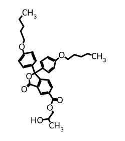 CCCCCOc1ccc(C2(c3ccc(OCCCCC)cc3)OC(=O)c3cc(C(=O)OCC(C)O)ccc32)cc1